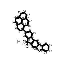 CC1(C)c2cc(-c3ccc4ccc5cccc6ccc3c4c56)ccc2-c2cc3c(cc21)sc1ccccc13